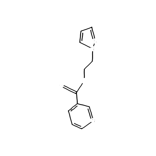 O=C(OCCn1cccn1)c1cccnc1